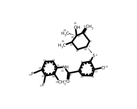 C=C1C[C@H](Sc2cc(C(=O)Nc3ccc(F)c(F)c3C)ccc2Cl)CC(C)[C@@]1(C)O